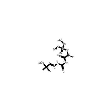 CCCOP(=O)(OCC)S[C@@H](C)C(=O)NC(=O)ON=CC(C)(C)SC